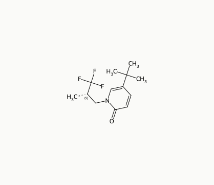 C[C@@H](Cn1cc(C(C)(C)C)ccc1=O)C(F)(F)F